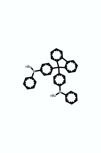 CCCCN(c1ccccc1)c1ccc(C2(c3ccc(N(CCCC)c4ccccc4)cc3)c3ccccc3-c3ccccc32)cc1